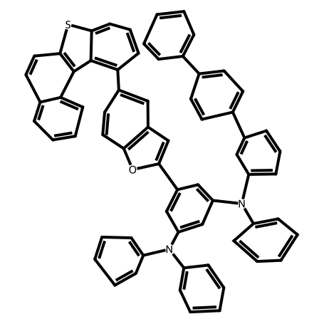 c1ccc(-c2ccc(-c3cccc(N(c4ccccc4)c4cc(-c5cc6cc(-c7cccc8sc9ccc%10ccccc%10c9c78)ccc6o5)cc(N(c5ccccc5)c5ccccc5)c4)c3)cc2)cc1